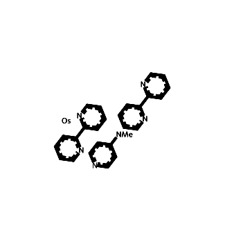 CNc1ccncc1.[Os].c1ccc(-c2ccccn2)nc1.c1ccc(-c2ccccn2)nc1